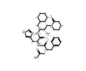 CC(C)(C)C(=O)C[C@@H](Cc1ccccc1)C(=O)N[C@@H](Cc1c[nH]cn1)C(=O)N[C@@H](CC1CCCCC1)[C@@H](O)CN1CCCCC1=O